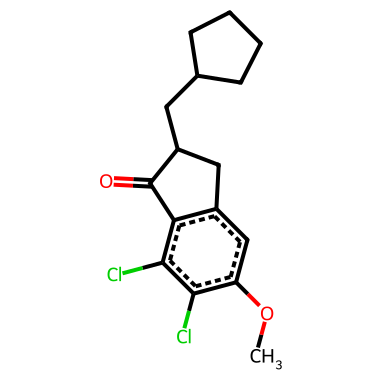 COc1cc2c(c(Cl)c1Cl)C(=O)C(CC1CCCC1)C2